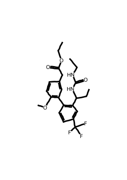 CCNC(=O)NC(CC)c1cc(C(F)(F)F)ccc1-c1cc(CC(=O)OCC)ccc1OC